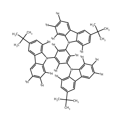 [2H]c1cc2c3cc(C(C)(C)C)cc([2H])c3n(-c3c([2H])c(-n4c5c([2H])cc(C(C)(C)C)cc5c5cc([2H])c([2H])c([2H])c54)c([2H])c(-n4c5c([2H])cc(C(C)(C)C)cc5c5cc([2H])c([2H])c([2H])c54)c3[2H])c2c([2H])c1[2H]